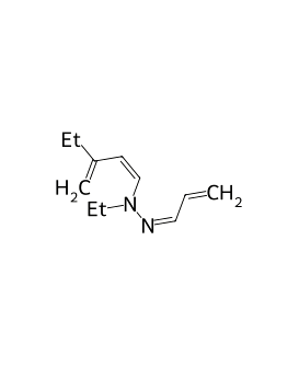 C=C/C=N\N(/C=C\C(=C)CC)CC